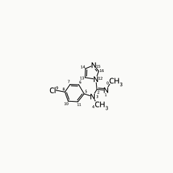 CN=C(N(C)c1ccc(Cl)cc1)n1ccnc1